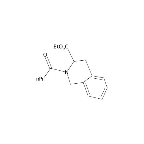 CCCC(=O)N1Cc2ccccc2CC1C(=O)OCC